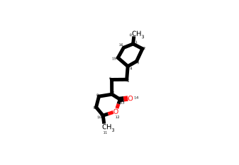 CC1CCC(CCC2CCC(C)OC2=O)CC1